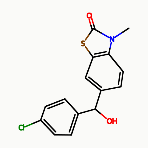 Cn1c(=O)sc2cc(C(O)c3ccc(Cl)cc3)ccc21